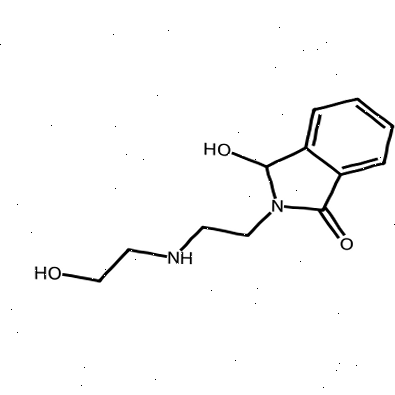 O=C1c2ccccc2C(O)N1CCNCCO